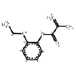 C=C(C)C(=O)Oc1ccccc1SCC